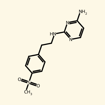 CS(=O)(=O)c1ccc(CCNc2nccc(N)n2)cc1